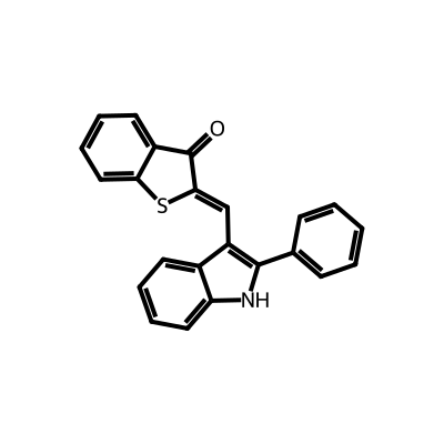 O=C1C(=Cc2c(-c3ccccc3)[nH]c3ccccc23)Sc2ccccc21